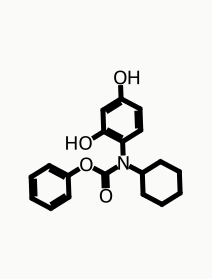 O=C(Oc1ccccc1)N(c1ccc(O)cc1O)C1CCCCC1